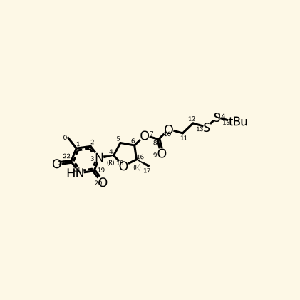 Cc1cn([C@H]2CC(OC(=O)OCCSSC(C)(C)C)[C@@H](C)O2)c(=O)[nH]c1=O